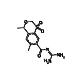 Cc1cc2c(cc1C(=O)N=C(N)N)S(=O)(=O)COC2C